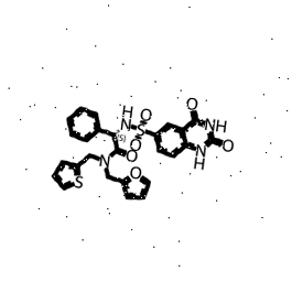 O=C([C@@H](NS(=O)(=O)c1ccc2[nH]c(=O)[nH]c(=O)c2c1)c1ccccc1)N(Cc1ccco1)Cc1cccs1